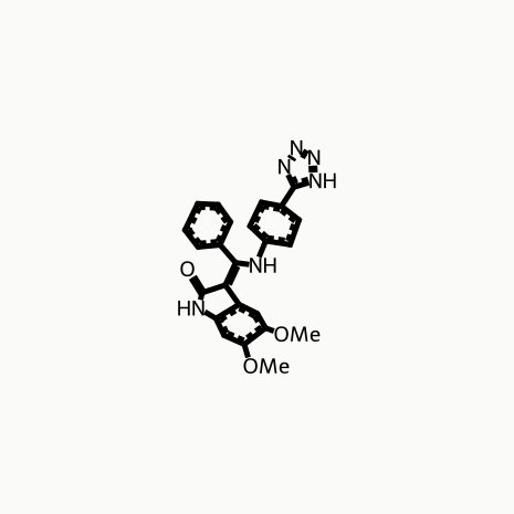 COc1cc2c(cc1OC)C(=C(Nc1ccc(-c3nnn[nH]3)cc1)c1ccccc1)C(=O)N2